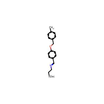 CCCCCCCCCCCC/N=C/c1ccc(OCc2ccc(C)cc2)cc1